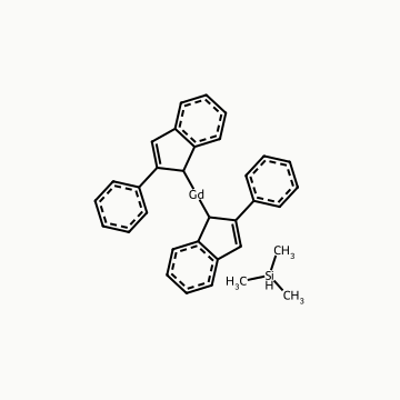 C1=C(c2ccccc2)[CH]([Gd][CH]2C(c3ccccc3)=Cc3ccccc32)c2ccccc21.C[SiH](C)C